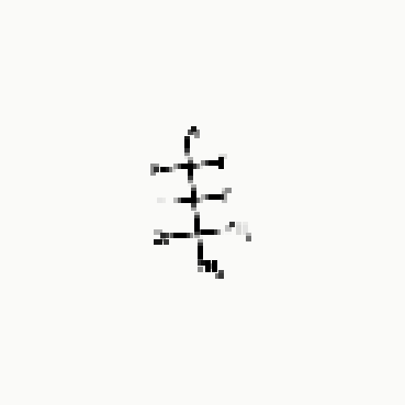 CCC(C)(C)C(F)(F)C(F)(F)C(C)C